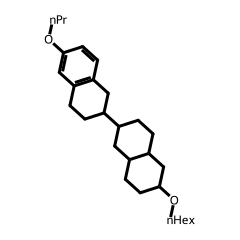 CCCCCCOC1CCC2CC(C3CCc4cc(OCCC)ccc4C3)CCC2C1